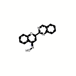 O/N=c1/cc(-c2ncc3ccccc3n2)oc2ccccc12